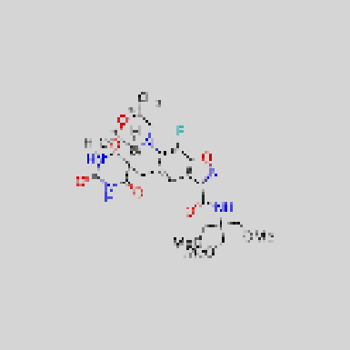 COCC(COC)(COC)NC(=O)c1noc2c(F)c3c(cc12)CC1(C(=O)NC(=O)NC1=O)[C@H]1[C@H](C)O[C@H](C)CN31